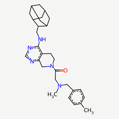 Cc1ccc(CN(C)CC(=O)N2CCc3c(ncnc3NCC3C4CC5CC(C4)CC3C5)C2)cc1